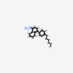 CCCCCCc1ccc(-c2ccc(N)c3ccccc23)cc1